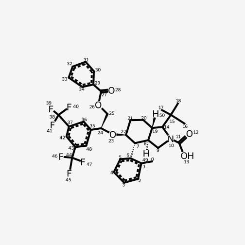 Cc1ccccc1[C@H]1[C@@H]2CN(C(=O)O)C(C(C)(C)C)[C@H]2CC[C@@H]1O[C@H](COC(=O)c1ccccc1)c1cc(C(F)(F)F)cc(C(F)(F)F)c1